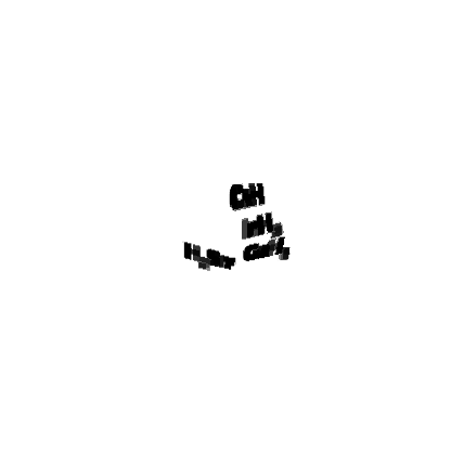 [CsH].[GaH3].[InH3].[SnH2]